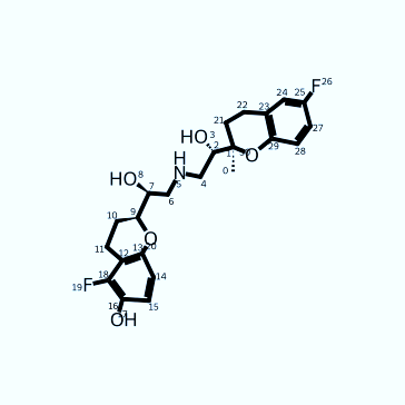 C[C@]1([C@@H](O)CNC[C@H](O)[C@@H]2CCc3c(ccc(O)c3F)O2)CCc2cc(F)ccc2O1